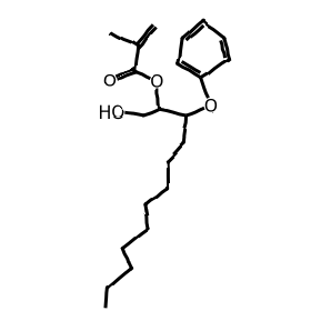 C=C(C)C(=O)OC(CO)C(CCCCCCCCC)Oc1ccccc1